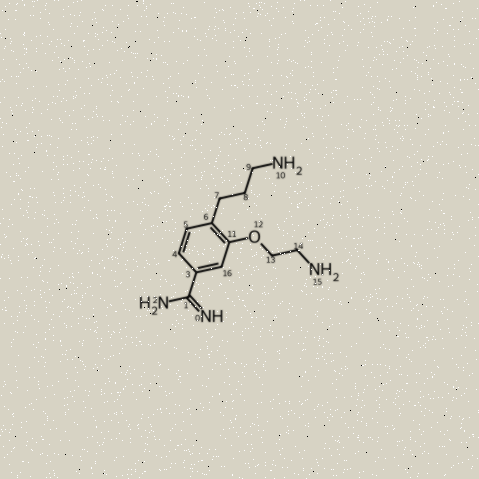 N=C(N)c1ccc(CCCN)c(OCCN)c1